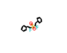 O=S(=O)(/C(F)=C/c1ccccc1)/C(F)=C/c1ccccc1